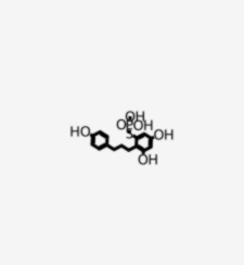 O=P(O)(O)Sc1cc(O)cc(O)c1CCCc1ccc(O)cc1